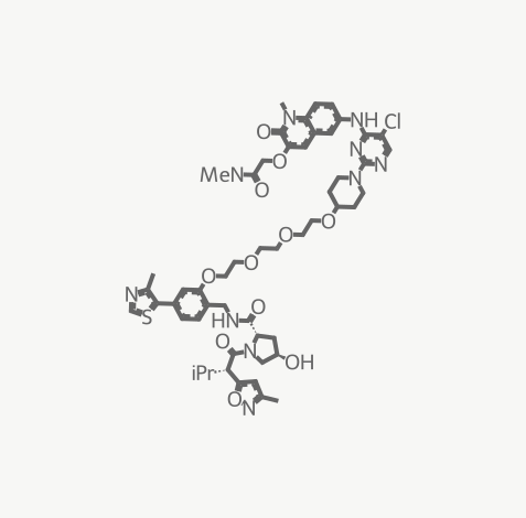 CNC(=O)COc1cc2cc(Nc3nc(N4CCC(OCCOCCOCCOc5cc(-c6scnc6C)ccc5CNC(=O)[C@@H]5C[C@@H](O)CN5C(=O)[C@H](c5cc(C)no5)C(C)C)CC4)ncc3Cl)ccc2n(C)c1=O